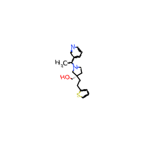 CC(c1cccnc1)N1CC[C@@](CO)(CCc2cccs2)C1